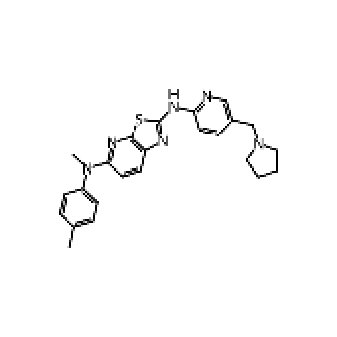 Cc1ccc(N(C)c2ccc3nc(Nc4ccc(CN5CCCC5)cn4)sc3n2)cc1